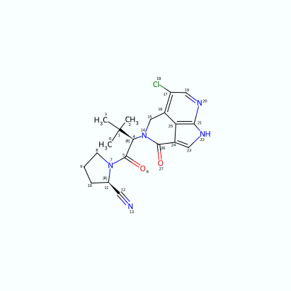 CC(C)(C)[C@H](C(=O)N1CCC[C@@H]1C#N)N1Cc2c(Cl)cnc3[nH]cc(c23)C1=O